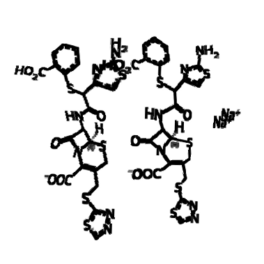 Nc1nc(C(Sc2ccccc2C(=O)O)C(=O)NC2C(=O)N3C(C(=O)[O-])=C(CSc4nncs4)CS[C@H]23)cs1.Nc1nc(C(Sc2ccccc2C(=O)O)C(=O)NC2C(=O)N3C(C(=O)[O-])=C(CSc4nncs4)CS[C@H]23)cs1.[Na+].[Na+]